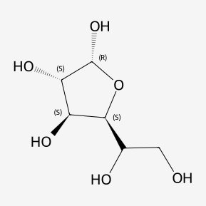 OCC(O)[C@@H]1O[C@@H](O)[C@@H](O)[C@@H]1O